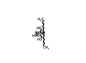 CCCCCCCCCCCCCCCC.O=S(=O)(O)O.OCCNCCO